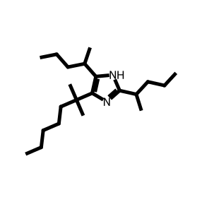 CCCCCC(C)(C)c1nc(C(C)CCC)[nH]c1C(C)CCC